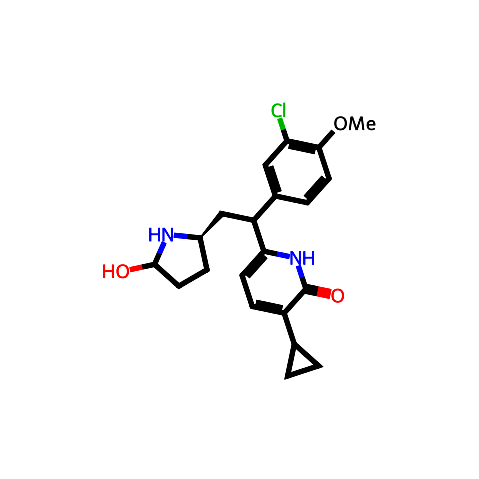 COc1ccc(C(C[C@H]2CCC(O)N2)c2ccc(C3CC3)c(=O)[nH]2)cc1Cl